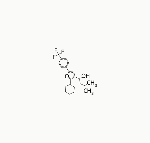 CC(C)CC(O)c1cc(-c2ccc(C(F)(F)F)cc2)oc1C1CCCCC1